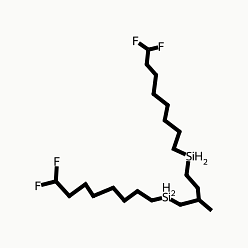 CC(CC[SiH2]CCCCCCCC(F)F)C[SiH2]CCCCCCCC(F)F